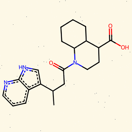 CC(CC(=O)N1CCC(C(=O)O)C2CCCCC21)c1c[nH]c2ncccc12